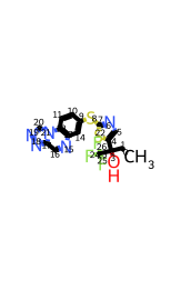 CCC(O)(c1cnc(Sc2ccc3c(c2)ncc2nncn23)s1)C(F)(F)F